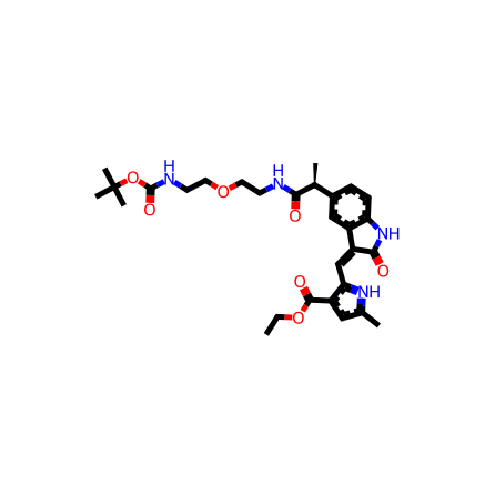 CCOC(=O)c1cc(C)[nH]c1/C=C1\C(=O)Nc2ccc([C@H](C)C(=O)NCCOCCNC(=O)OC(C)(C)C)cc21